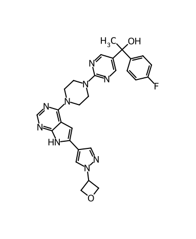 CC(O)(c1ccc(F)cc1)c1cnc(N2CCN(c3ncnc4[nH]c(-c5cnn(C6COC6)c5)cc34)CC2)nc1